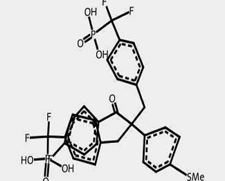 CSc1ccc(C(Cc2ccc(C(F)(F)P(=O)(O)O)cc2)(Cc2ccc(C(F)(F)P(=O)(O)O)cc2)C(=O)c2ccc(F)cc2)cc1